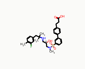 Cc1ccc(CC(C)(C)NC[C@@H](O)CN(C)S(=O)(=O)c2cccc(-c3ccc(CCC(=O)O)cc3)c2)cc1F